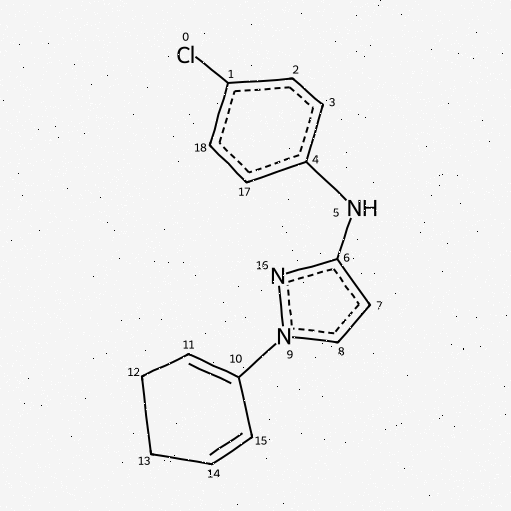 Clc1ccc(Nc2ccn(C3=CCCC=C3)n2)cc1